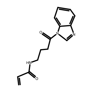 C=CC(=O)NCCCC(=O)n1cnc2ccccc21